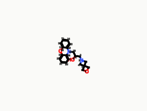 OC(CN1CC2(COC2)C1)CN1c2ccccc2Oc2ccccc21